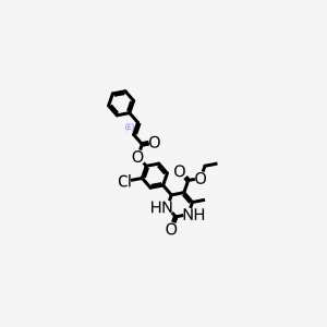 CCOC(=O)C1=C(C)NC(=O)NC1c1ccc(OC(=O)/C=C/c2ccccc2)c(Cl)c1